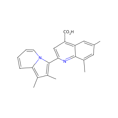 Cc1cc(C)c2nc(-c3c(C)c(C)c4ccccn34)cc(C(=O)O)c2c1